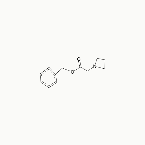 O=C(CN1CCC1)OCc1ccccc1